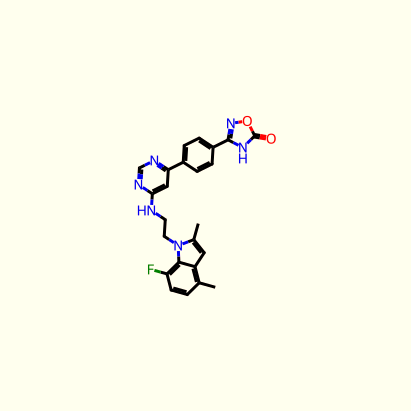 Cc1ccc(F)c2c1cc(C)n2CCNc1cc(-c2ccc(-c3noc(=O)[nH]3)cc2)ncn1